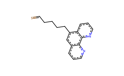 S=CCCCCc1cc2cccnc2c2ncccc12